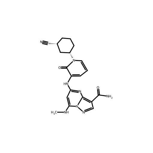 CNc1cc(Nc2cccn([C@H]3CCC[C@@H](C#N)C3)c2=O)nc2c(C(N)=O)cnn12